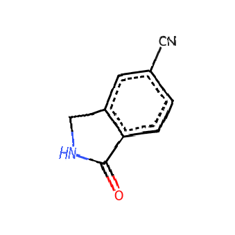 N#Cc1ccc2c(c1)CNC2=O